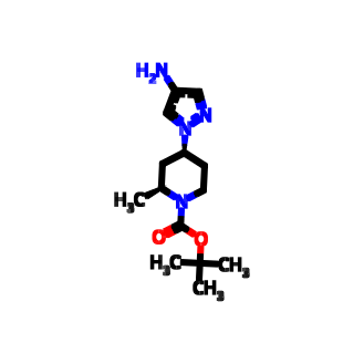 C[C@H]1C[C@@H](n2cc(N)cn2)CCN1C(=O)OC(C)(C)C